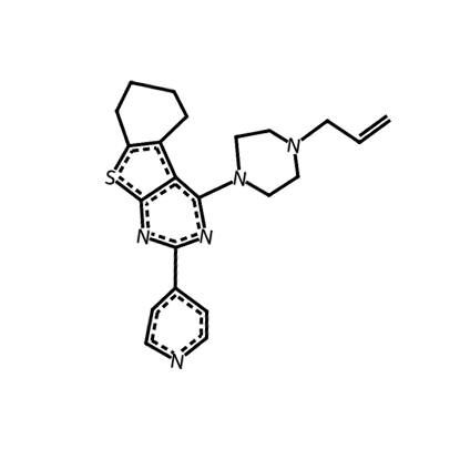 C=CCN1CCN(c2nc(-c3ccncc3)nc3sc4c(c23)CCCC4)CC1